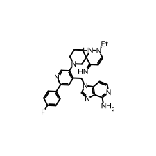 CCN1C=CC(=N)C2(CCCN(c3cnc(-c4ccc(F)cc4)cc3Cn3cnc4c(N)nccc43)C2)N1